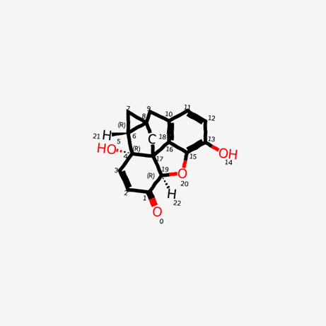 O=C1C=C[C@@]2(O)[C@@H]3CC34Cc3ccc(O)c5c3C2(C4)[C@H]1O5